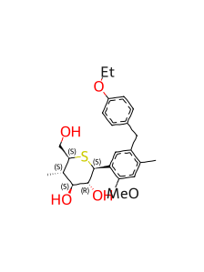 CCOc1ccc(Cc2cc([C@@H]3S[C@H](CO)[C@@H](C)[C@H](O)[C@H]3O)c(OC)cc2C)cc1